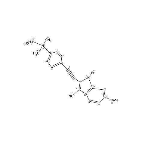 CCn1c(C#Cc2ccc([N+](C)(C)[PH2]=O)cc2)c(C#N)c2ccc(OC)cc21